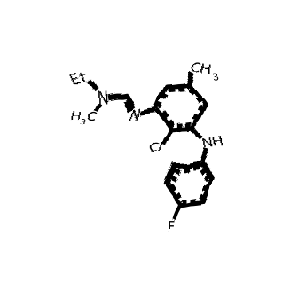 CCN(C)C=Nc1cc(C)cc(Nc2ccc(F)cc2)c1Cl